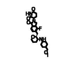 O=C1CCC(N2Cc3c(ccc(C[C@H]4OCCC[C@@H]4NC4CCC(COI)CC4)c3F)C2=O)C(=O)N1